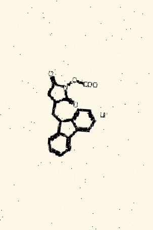 O=C([O-])ON1C(=O)CC(CC2c3ccccc3-c3ccccc32)C1=O.[Li+]